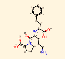 NCCC[C@H](N[C@@H](CCc1ccccc1)C(=O)O)C(=O)N1CCC[C@H]1C(=O)O